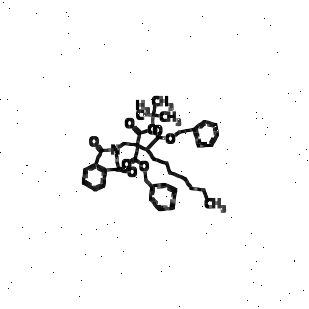 CCCCCCCC(C(=O)OCc1ccccc1)C(CN1C(=O)c2ccccc2C1=O)(C(=O)OCc1ccccc1)C(=O)OC(C)(C)C